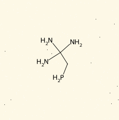 NC(N)(N)CP